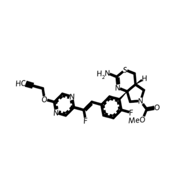 C#CCOc1cnc(/C(F)=C/c2ccc(F)c([C@]34CN(C(=O)OC)C[C@H]3CSC(N)=N4)c2)cn1